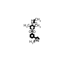 C=CC(=O)NC1C(C)CN(S(=O)(=O)c2cccc(-c3ccnn3C)c2)CC1C